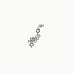 Cc1ccc(NC(=O)NC(=O)CC(=O)c2ccc(CS)cc2)cc1